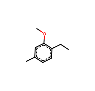 CCc1ccc(C)cc1OC